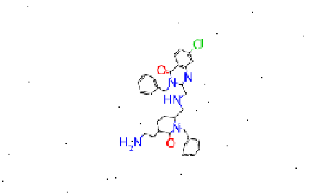 NCCC1CCC(CNCc2nc3cc(Cl)ccc3c(=O)n2Cc2ccccc2)N(Cc2ccccc2)C1=O